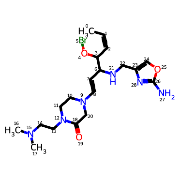 C/C=C\C(OBr)C(/C=C/N1CCN(CCN(C)C)C(=O)C1)NCc1coc(N)n1